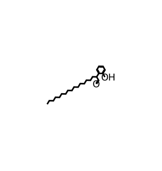 CCCCCCCCCCCCCCCCC(C=O)c1ccccc1O